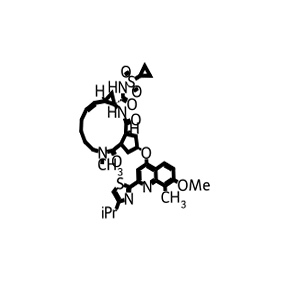 COc1ccc2c(O[C@H]3CC4C(=O)N(C)CCCC/C=C\[C@@H]5C[C@@]5(C(=O)NS(=O)(=O)C5CC5)NC(=O)[C@@H]4C3)cc(-c3nc(C(C)C)cs3)nc2c1C